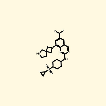 O=S(=O)(C1CC1)N1CCC(Nc2ncc3cc(C(F)F)cc(N4CC5(CCNC5)C4)c3n2)CC1